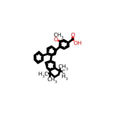 COc1cc(C(=O)O)ccc1-c1ccc(-c2ccccc2)c(-c2ccc3c(c2)C(C)(C)CCC3(C)C)c1